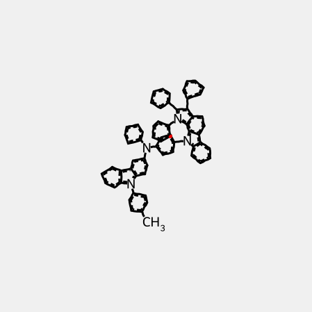 Cc1ccc(-n2c3ccccc3c3cc(N(c4ccccc4)c4ccc(-n5c6ccccc6c6ccc7c(-c8ccccc8)c(-c8ccccc8)n(-c8ccccc8)c7c65)cc4)ccc32)cc1